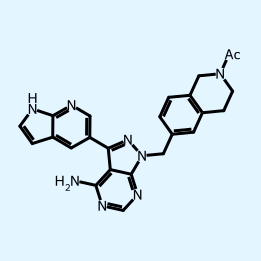 CC(=O)N1CCc2cc(Cn3nc(-c4cnc5[nH]ccc5c4)c4c(N)ncnc43)ccc2C1